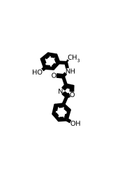 C[C@@H](NC(=O)c1coc(-c2cccc(O)c2)n1)c1cccc(O)c1